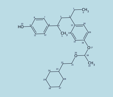 CCC(CC(C)c1ccc(O)cc1)c1ccc(OC(C)OCCC2CCCCC2)cc1